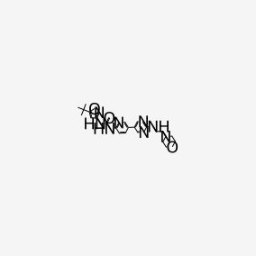 CC(C)(C)c1cc(NC(=O)Nc2ccc(-c3cnc(NCCN4CCOCC4)nc3)cn2)no1